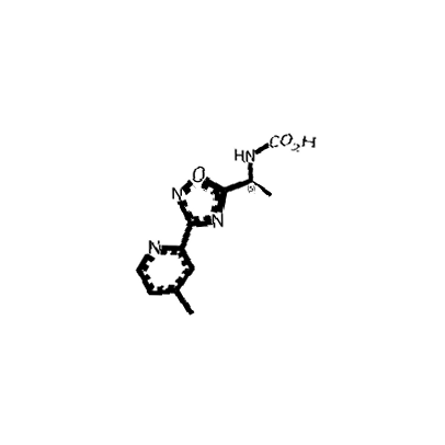 Cc1ccnc(-c2noc([C@H](C)NC(=O)O)n2)c1